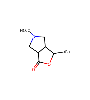 CC(C)(C)C1OC(=O)C2CN(C(=O)O)CC21